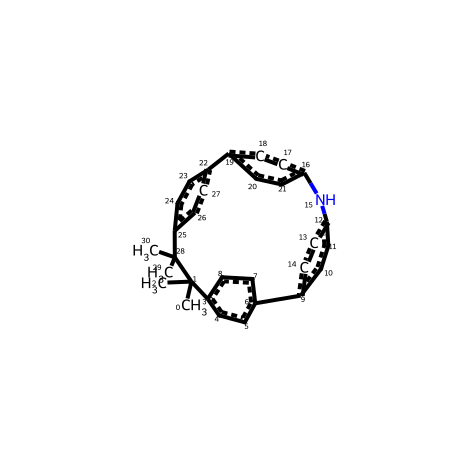 CC1(C)c2ccc(cc2)-c2ccc(cc2)Nc2ccc(cc2)-c2ccc(cc2)C1(C)C